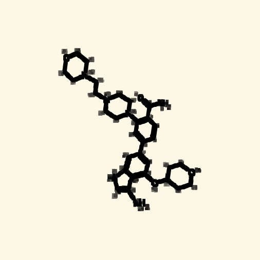 NC(=O)c1ccc(-c2cc(OC3CCOCC3)c3c(N)n[nH]c3c2)cc1N1CCN(CCN2CCOCC2)CC1